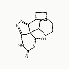 O=C1C=C(O)C2(C3CCCCC3)C(=NN=C2C2CCC2)N1